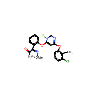 CNC(=O)C(=NOC)c1ccccc1OC1=CC(Oc2cccc(Cl)c2C)=NCN1F